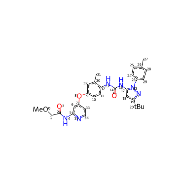 COCC(=O)Nc1cc(Oc2ccc(NC(=O)Nc3cc(C(C)(C)C)nn3-c3ccc(C)cc3)c(C)c2)ccn1